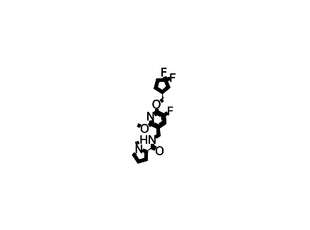 COc1nc(OC[C@@H]2CCC(F)(F)C2)c(F)cc1CNC(=O)[C@@H]1CCCN1C